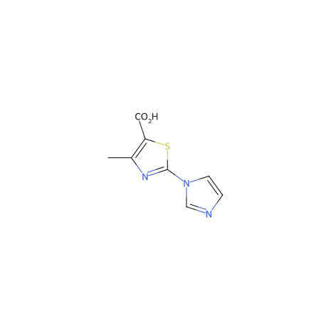 Cc1nc(-n2ccnc2)sc1C(=O)O